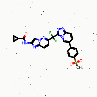 CS(=O)(=O)c1ccc(-c2ccc3nnc(C(F)(F)c4ccc5nc(NC(=O)C6CC6)cn5n4)n3c2)cc1